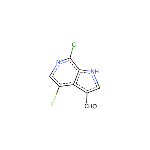 O=Cc1c[nH]c2c(Cl)ncc(F)c12